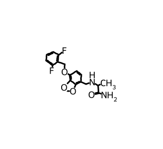 CC(NCc1ccc(OCc2c(F)cccc2F)c2c1OCO2)C(N)=O